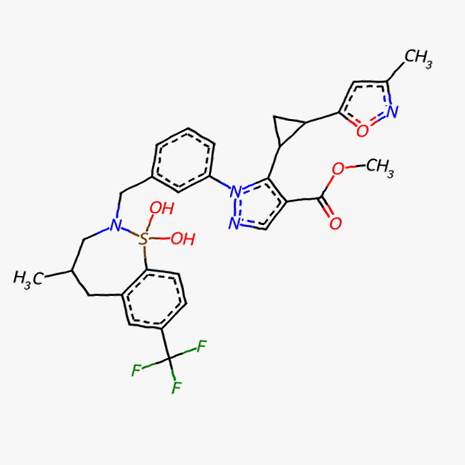 COC(=O)c1cnn(-c2cccc(CN3CC(C)Cc4cc(C(F)(F)F)ccc4S3(O)O)c2)c1C1CC1c1cc(C)no1